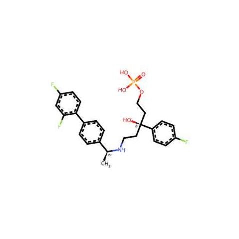 C[C@H](NCC[C@](O)(CCOP(=O)(O)O)c1ccc(F)cc1)c1ccc(-c2ccc(F)cc2F)cc1